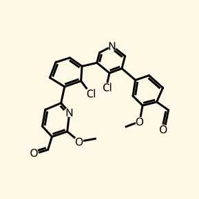 COc1cc(-c2cncc(-c3cccc(-c4ccc(C=O)c(OC)n4)c3Cl)c2Cl)ccc1C=O